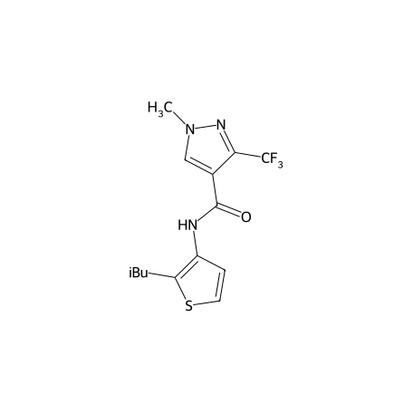 CCC(C)c1sccc1NC(=O)c1cn(C)nc1C(F)(F)F